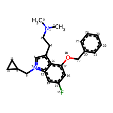 CN(C)CCc1cn(CC2CC2)c2cc(F)cc(OCc3ccccc3)c12